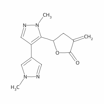 C=C1CC(c2c(-c3cnn(C)c3)cnn2C)OC1=O